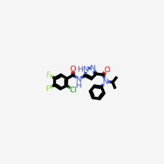 CC(C)N(C(=O)c1cc(NC(=O)c2cc(F)c(F)cc2Cl)[nH]n1)c1ccccc1